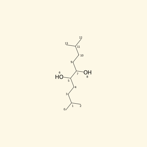 CC(C)CCC(O)C(O)CCC(C)C